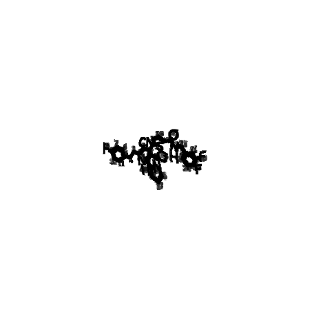 N#Cc1c(CCc2ccc(F)cc2)nc2c(c1-c1ccc(C(=O)NCc3ccc(F)c(F)c3)s1)C(=O)N1CCC[C@@H]21